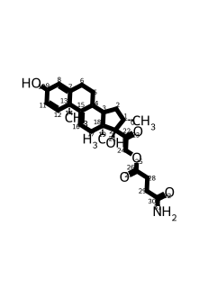 C[C@H]1CC2C3CCC4=CC(O)C=C[C@]4(C)C3=CC[C@]2(C)[C@@]1(O)C(=O)COC(=O)CCC(N)=O